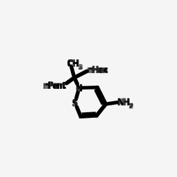 CCCCCCC(C)(CCCCC)N1C=C(N)C=CS1